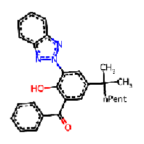 CCCCCC(C)(C)c1cc(C(=O)c2ccccc2)c(O)c(-n2nc3ccccc3n2)c1